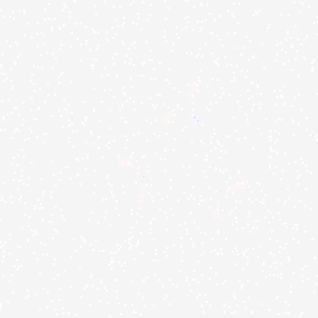 COC(=O)c1cc(C(=O)O)cc(N(C)S(=O)(=O)Cc2ccc(Br)cc2)c1